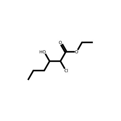 CCCC(O)C(Cl)C(=O)OCC